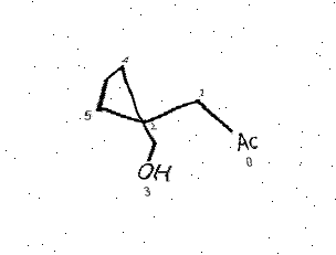 CC(=O)CC1(O)CC1